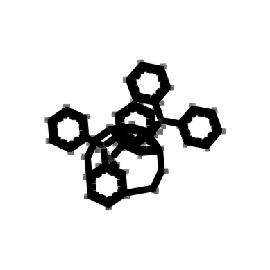 COc1cc2c(P(c3ccccc3)c3ccccc3)cc1CCc1ccc(cc1P(c1ccccc1)c1ccccc1)CC2